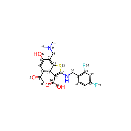 CC(=O)c1cc(O)c(CN(C)C)c2sc(NCc3ccc(F)cc3F)c(C(=O)O)c12